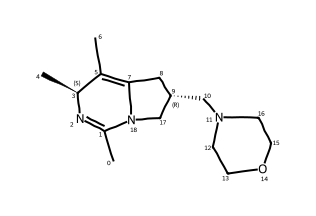 CC1=N[C@@H](C)C(C)=C2C[C@H](CN3CCOCC3)CN12